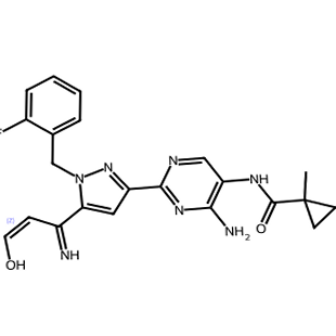 CC1(C(=O)Nc2cnc(-c3cc(C(=N)/C=C\O)n(Cc4ccccc4F)n3)nc2N)CC1